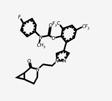 CN(C(=O)Oc1c(-c2cnn(CCN3CCC4CC4C3=O)c2)cc(C(F)(F)F)cc1C(F)(F)F)c1ccc(F)cc1